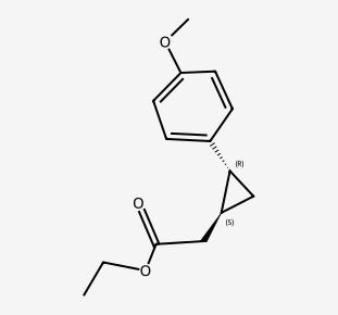 CCOC(=O)C[C@@H]1C[C@H]1c1ccc(OC)cc1